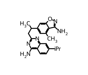 Cc1cc(C(C)Cc2nc(N)c3ccc(C(C)C)cc3n2)cc2onc(N)c12